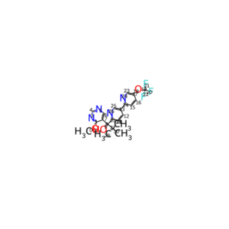 COc1ncncc1C(O)(c1ccc(-c2ccc(OC(F)(F)F)cn2)cn1)C(C)(C)C